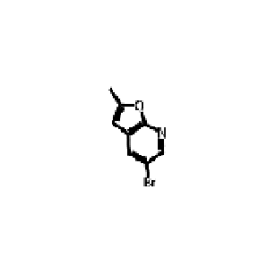 Cc1cc2cc(Br)cnc2o1